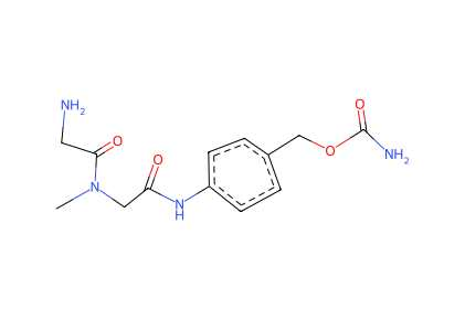 CN(CC(=O)Nc1ccc(COC(N)=O)cc1)C(=O)CN